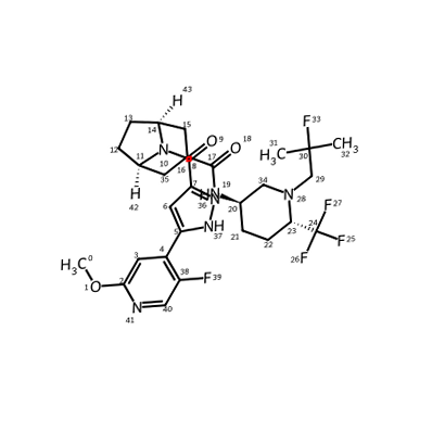 COc1cc(-c2cc(C(=O)N3[C@@H]4CC[C@H]3CC(C(=O)N[C@@H]3CC[C@@H](C(F)(F)F)N(CC(C)(C)F)C3)C4)n[nH]2)c(F)cn1